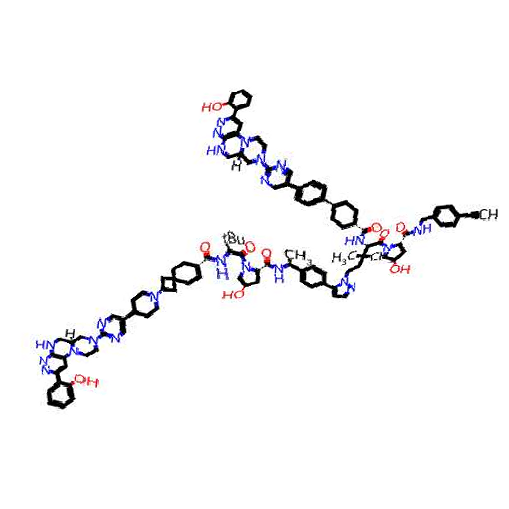 C#Cc1ccc(CNC(=O)[C@@H]2C[C@@H](O)CN2C(=O)[C@@H](NC(=O)[C@H]2CC[C@H](c3ccc(-c4cnc(N5CCN6c7cc(-c8ccccc8O)nnc7NC[C@H]6C5)nc4)cc3)CC2)C(C)(C)CCn2nccc2-c2ccc([C@H](C)NC(=O)[C@@H]3C[C@@H](O)CN3C(=O)[C@@H](NC(=O)[C@H]3CCC4(CC3)C[C@H](N3CCC(c5cnc(N6CCN7c8cc(-c9ccccc9O)nnc8NC[C@H]7C6)nc5)CC3)C4)C(C)(C)C)cc2)cc1